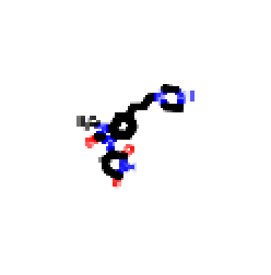 Cn1c(=O)n(C2CCC(=O)NC2=O)c2ccc(CCCN3CCNCC3)cc21